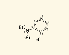 CCN(CC)c1[c]nccc1F